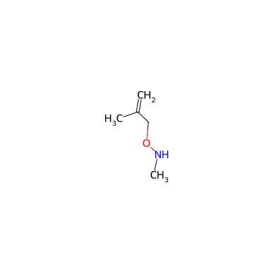 C=C(C)CONC